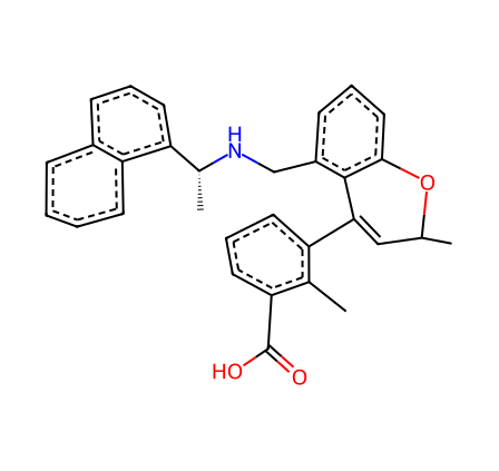 Cc1c(C(=O)O)cccc1C1=CC(C)Oc2cccc(CN[C@H](C)c3cccc4ccccc34)c21